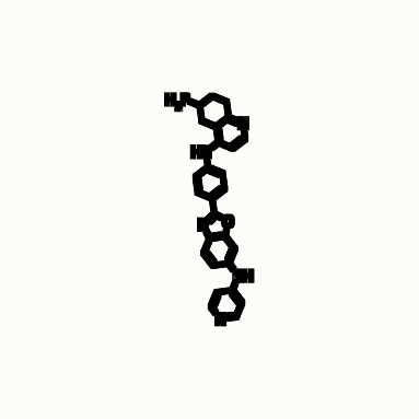 PC1CCc2nccc(Nc3ccc(-c4nc5ccc(Nc6ccncc6)cc5o4)cc3)c2C1